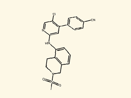 CS(=O)(=O)N1CCc2c(cccc2Nc2cc(-c3ccc(C#N)cc3)c(Cl)cn2)C1